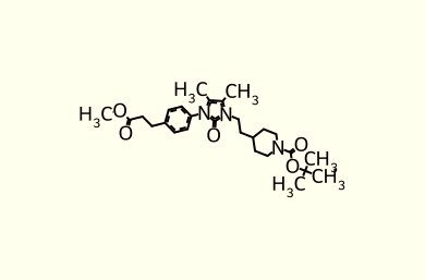 COC(=O)CCc1ccc(-n2c(C)c(C)n(CCC3CCN(C(=O)OC(C)(C)C)CC3)c2=O)cc1